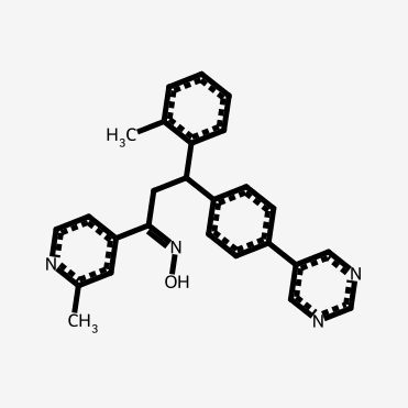 Cc1cc(C(CC(c2ccc(-c3cncnc3)cc2)c2ccccc2C)=NO)ccn1